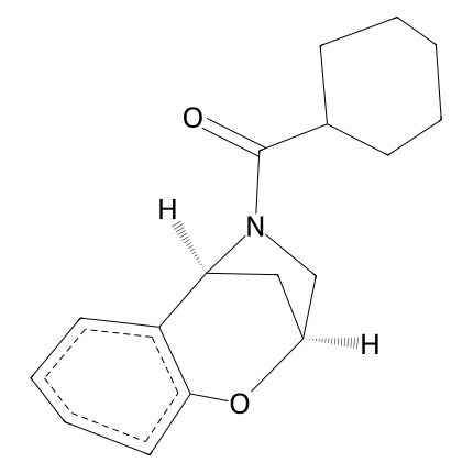 O=C(C1CCCCC1)N1C[C@@H]2C[C@H]1c1ccccc1O2